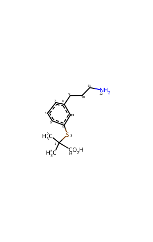 CC(C)(Sc1cccc(CCCN)c1)C(=O)O